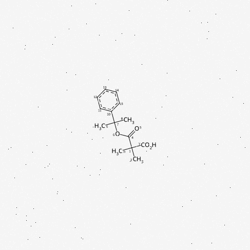 CC(C)(C(=O)O)C(=O)OC(C)(C)c1ccccc1